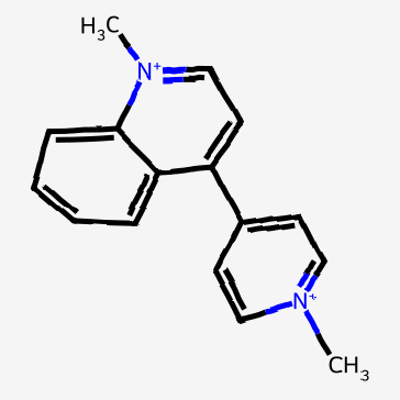 C[n+]1ccc(-c2cc[n+](C)c3ccccc23)cc1